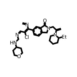 C=N/C(=C(Cl)\C=N/CNC1CCOCC1)c1ccc2c(c1)C(=O)N(CC(=C)N1CCCCC1CC)C2